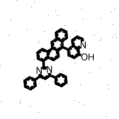 Oc1ccc(-c2c3ccccc3cc3c2ccc2c(-c4nc(-c5ccccc5)cc(-c5ccccc5)n4)cccc23)c2cccnc12